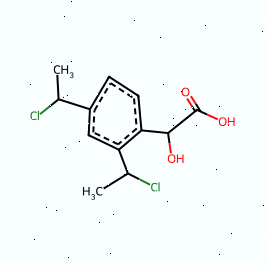 CC(Cl)c1ccc(C(O)C(=O)O)c(C(C)Cl)c1